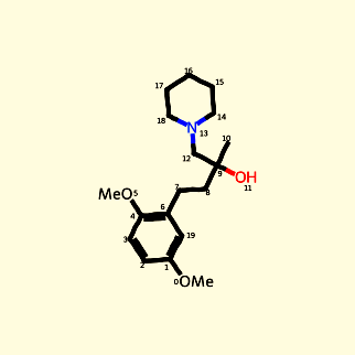 COc1ccc(OC)c(CCC(C)(O)CN2CCCCC2)c1